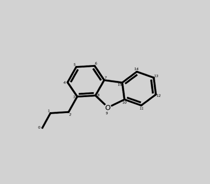 CCCc1cccc2c1oc1ccccc12